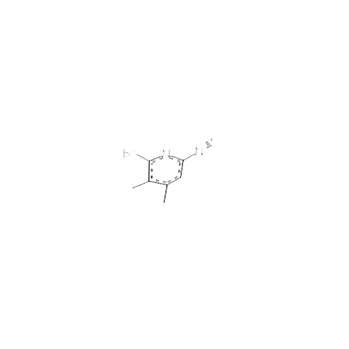 [C-]#[N+]c1cc(C)c(C)c(Br)n1